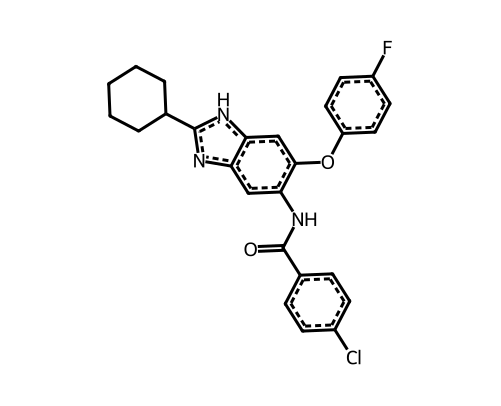 O=C(Nc1cc2nc(C3CCCCC3)[nH]c2cc1Oc1ccc(F)cc1)c1ccc(Cl)cc1